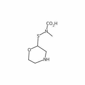 CN(SC1CNCCO1)C(=O)O